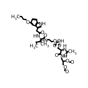 CCCCOc1ccc2[nH]cc(CC(=O)N[C@H](C(=O)NCCOP(=O)(O)OCC(NC(C)=O)C(=O)NCC(COC=O)OC=O)[C@@H](C)CC)c2c1